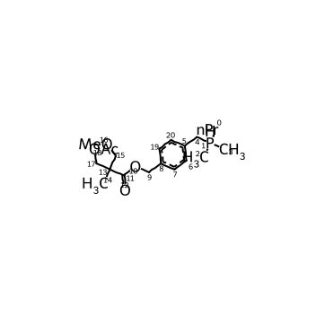 CCC[PH](C)(C)Cc1ccc(COC(=O)C(C)(COC)COC(C)=O)cc1